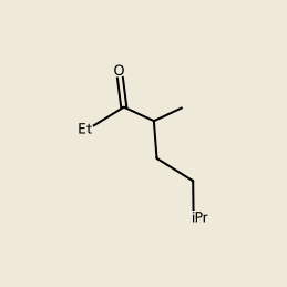 CCC(=O)C(C)CCC(C)C